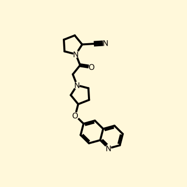 N#CC1CCCN1C(=O)CN1CCC(Oc2ccc3ncccc3c2)C1